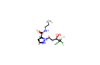 CCCNC(=O)c1ccnn1CCC(O)C(F)(F)F